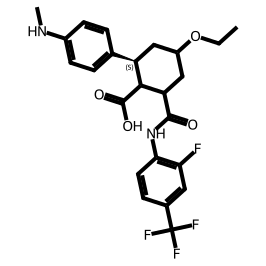 CCOC1CC(C(=O)Nc2ccc(C(F)(F)F)cc2F)C(C(=O)O)[C@@H](c2ccc(NC)cc2)C1